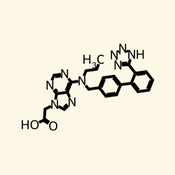 CCCN(Cc1ccc(-c2ccccc2-c2nnn[nH]2)cc1)c1ncnc2c1ncn2CC(=O)O